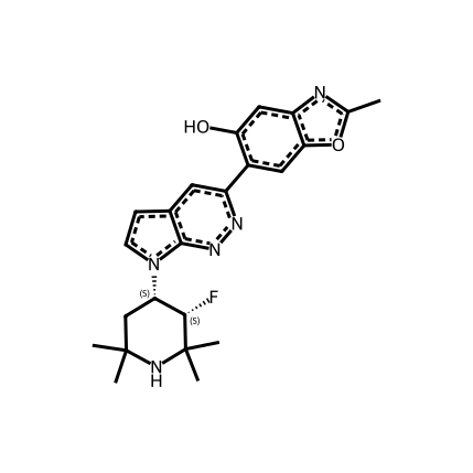 Cc1nc2cc(O)c(-c3cc4ccn([C@H]5CC(C)(C)NC(C)(C)[C@H]5F)c4nn3)cc2o1